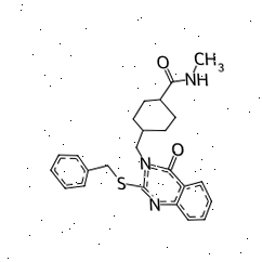 CNC(=O)C1CCC(Cn2c(SCc3ccccc3)nc3ccccc3c2=O)CC1